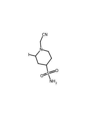 N#CCN1CCC(S(N)(=O)=O)CC1I